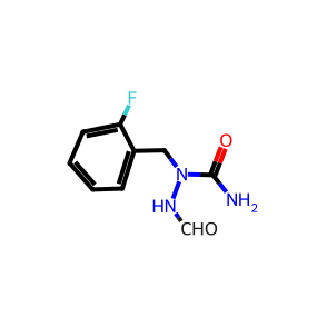 NC(=O)N(Cc1ccccc1F)NC=O